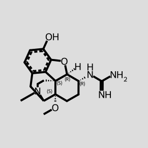 CO[C@@]12CC[C@@H](NC(=N)N)[C@@H]3Oc4c(O)ccc5c4[C@@]31CCN(C)C2C5